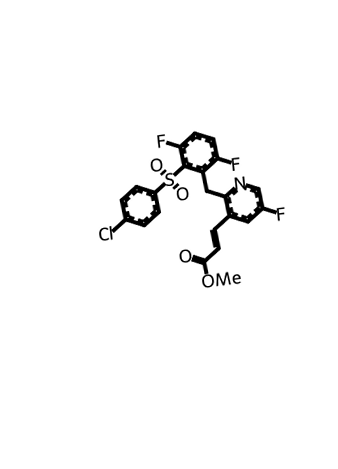 COC(=O)/C=C/c1cc(F)cnc1Cc1c(F)ccc(F)c1S(=O)(=O)c1ccc(Cl)cc1